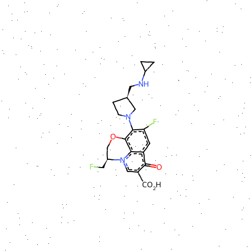 O=C(O)c1cn2c3c(c(N4CC[C@@H](CNC5CC5)C4)c(F)cc3c1=O)OC[C@@H]2CF